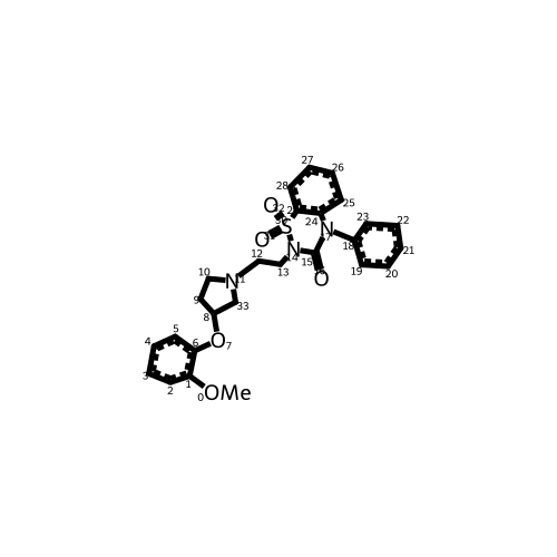 COc1ccccc1OC1CCN(CCN2C(=O)N(c3ccccc3)c3ccccc3S2(=O)=O)C1